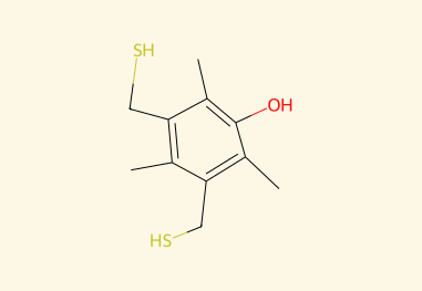 Cc1c(O)c(C)c(CS)c(C)c1CS